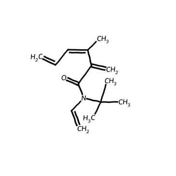 C=C/C=C(/C)C(=C)C(=O)N(C=C)C(C)(C)C